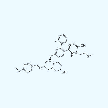 COc1ccc(COC(COCc2ccc(C(=O)N[C@@H](CCSC)C(=O)O)c(-c3ccccc3C)c2)CC2CCCCC2)cc1.[LiH]